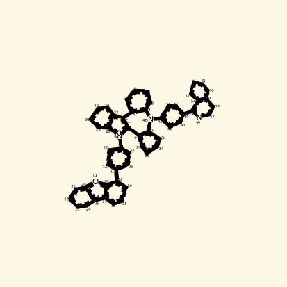 c1ccc2c(c1)-c1c(n(-c3ccc(-c4cccc5c4oc4ccccc45)cc3)c3ccccc13)-c1ccccc1N2c1ccc(-c2nccc3ccccc23)cc1